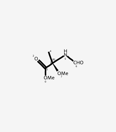 COC(=O)[C@](C)(NC=O)OC